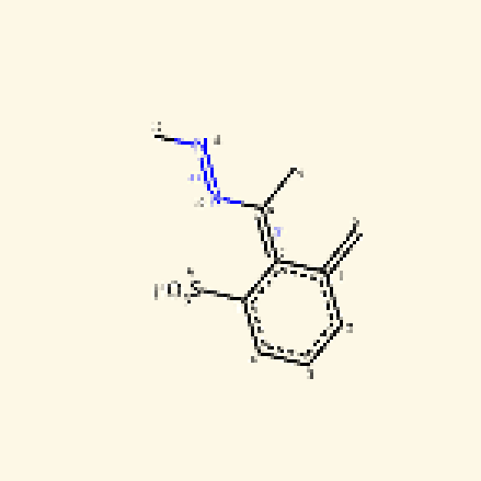 C=c1cccc(S(=O)(=O)O)/c1=C(C)\N=N\C